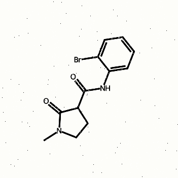 CN1CCC(C(=O)Nc2ccccc2Br)C1=O